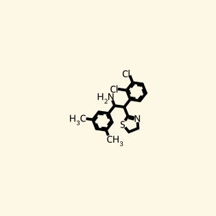 Cc1cc(C)cc(C(N)C(C2=NCCS2)c2cccc(Cl)c2Cl)c1